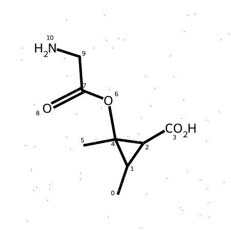 CC1C(C(=O)O)C1(C)OC(=O)CN